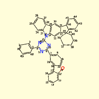 c1ccc(-c2nc(-c3ccc4oc5ccccc5c4c3)nc(-n3c4ccccc4c4cc5c(cc43)C3(CCCCC3)c3ccccc3-5)n2)cc1